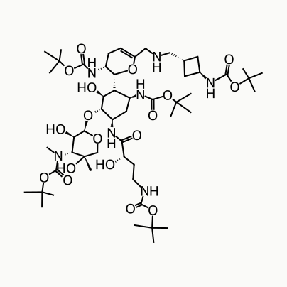 CN(C(=O)OC(C)(C)C)[C@@H]1[C@@H](O)[C@@H](O[C@H]2[C@H](NC(=O)[C@@H](O)CCNC(=O)OC(C)(C)C)C[C@H](NC(=O)OC(C)(C)C)C([C@H]3OC(CNC[C@H]4C[C@H](NC(=O)OC(C)(C)C)C4)=CC[C@H]3NC(=O)OC(C)(C)C)[C@@H]2O)OC[C@]1(C)O